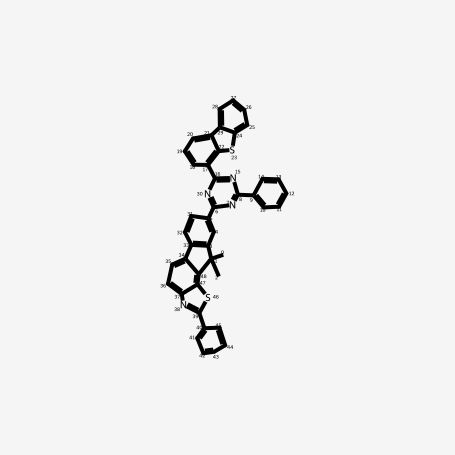 CC1(C)c2cc(-c3nc(-c4ccccc4)nc(-c4cccc5c4sc4ccccc45)n3)ccc2-c2ccc3nc(-c4ccccc4)sc3c21